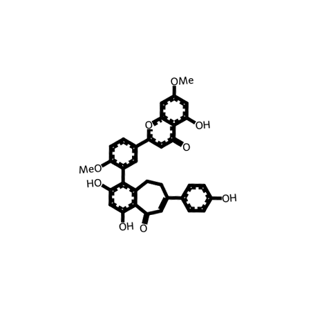 COc1cc(O)c2c(=O)cc(-c3ccc(OC)c(-c4c(O)cc(O)c5c4CCC(c4ccc(O)cc4)=CC5=O)c3)oc2c1